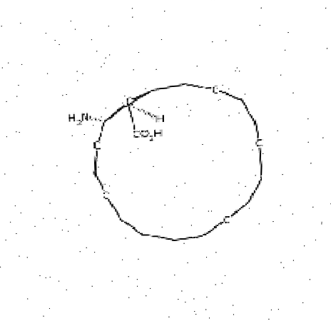 N[C@@]12CCCCCCCCCCCCCCCC(C1)[C@H]2C(=O)O